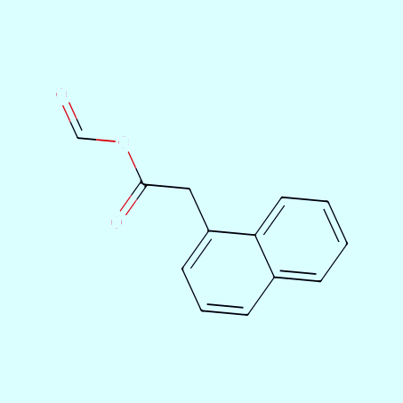 O=COC(=O)Cc1cccc2ccccc12